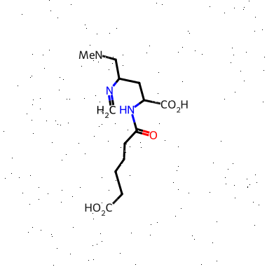 C=NC(CNC)CC(NC(=O)CCCCC(=O)O)C(=O)O